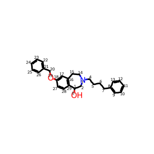 OC1CN(CCCCc2ccccc2)CCc2cc(OCc3ccccc3)ccc21